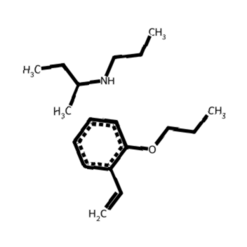 C=Cc1ccccc1OCCC.CCCNC(C)CC